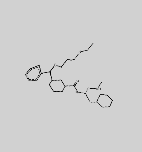 CCOCCCOC(c1ccccc1)[C@@H]1CCCN(C(=O)N[C@H](CNC)CC2CCCCC2)C1